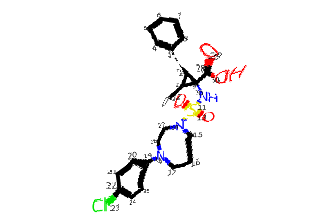 CC1[C@H](c2ccccc2)[C@]1(NS(=O)(=O)N1CCCN(c2ccc(Cl)cc2)CC1)C(=O)O